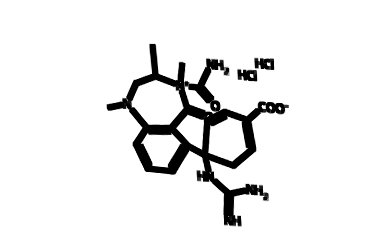 CC1CN(C)c2cccc(C3(NC(=N)N)C=CC(C(=O)[O-])=CC3)c2C(=O)[N+]1(C)C(N)=O.Cl.Cl